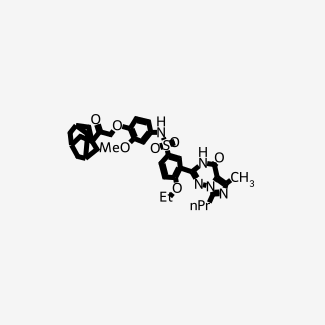 CCCc1nc(C)c2c(=O)[nH]c(-c3cc(S(=O)(=O)Nc4ccc(OCC(=O)C56CC7CC(CC(C7)C5)C6)c(OC)c4)ccc3OCC)nn12